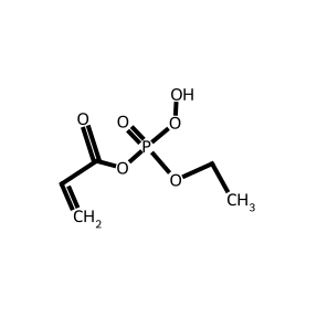 C=CC(=O)OP(=O)(OO)OCC